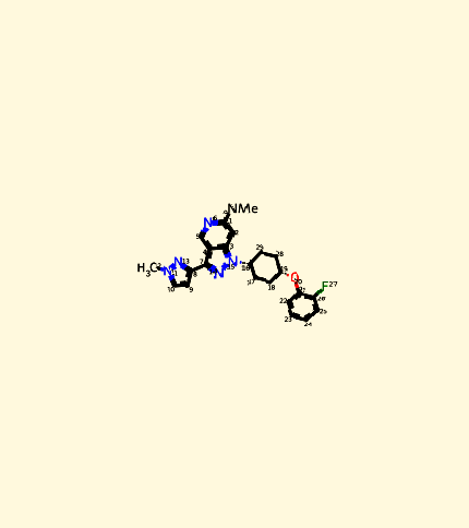 CNc1cc2c(cn1)c(-c1ccn(C)n1)nn2[C@H]1CC[C@@H](Oc2ccccc2F)CC1